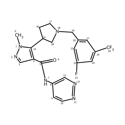 Cn1ncc(C(=O)Nc2ccnnc2)c1C1CCN(Cc2cc(F)cc(C(F)(F)F)c2)C1